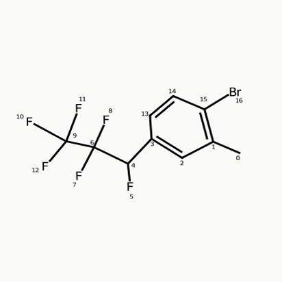 Cc1cc(C(F)C(F)(F)C(F)(F)F)ccc1Br